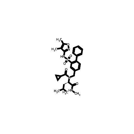 CNC(=O)[C@H](CC(C)C)N(Cc1ccc(-c2ccccc2)c(S(=O)(=O)Nc2noc(C)c2C)c1)C(=O)C1CC1